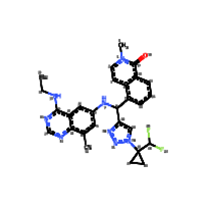 Cn1ccc2c(C(Nc3cc(C#N)c4ncnc(NCC(C)(C)C)c4c3)c3cn(C4(C(F)F)CC4)nn3)cccc2c1=O